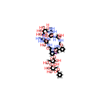 CCC(c1ccccc1)C1NC(=O)CNC(=O)C(CO)NC(=O)C(C(O)C2CNC(=N)N2C2OC(CO)C(O)C(O)C2O)NC(=O)C(C(O)C2CNC(=N)N2)NC(=O)C(Cc2ccc(OC3OC(CO)C(OC4OC5COC(c6ccccc6)OC5C(O)C4O)C(O)C3O)c(I)c2)NC1=O